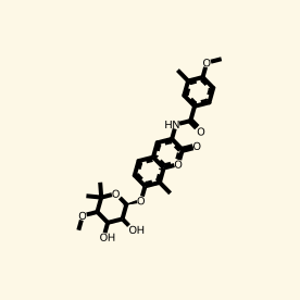 COc1ccc(C(=O)Nc2cc3ccc(O[C@@H]4OC(C)(C)C(OC)C(O)C4O)c(C)c3oc2=O)cc1C